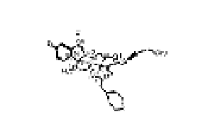 C[C@@H]1C[C@H]2[C@@H]3C[C@H](F)C4=CC(=O)C=C[C@]4(C)[C@@]3(F)[C@@H](O)C[C@]2(C)[C@@]1(OC(=O)CC1CCCCC1)C(=O)SCC#CCO